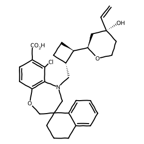 C=C[C@@]1(O)CCO[C@@H]([C@@H]2CC[C@H]2CN2CC3(CCCc4ccccc43)COc3ccc(C(=O)O)c(Cl)c32)C1